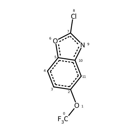 FC(F)(F)Oc1ccc2oc(Cl)nc2c1